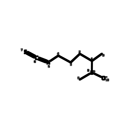 CC(CCCN=C=S)[S+](C)[O-]